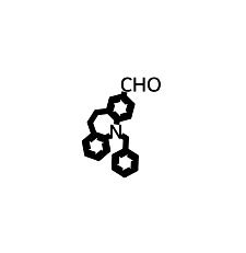 O=Cc1ccc2c(c1)CCc1ccccc1N2Cc1ccccc1